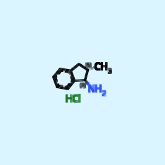 C[C@H]1Cc2ccccc2[C@@H]1N.Cl